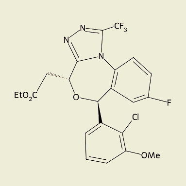 CCOC(=O)C[C@H]1O[C@H](c2cccc(OC)c2Cl)c2cc(F)ccc2-n2c1nnc2C(F)(F)F